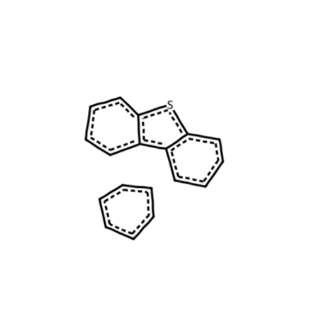 c1ccc2c(c1)sc1ccccc12.c1ccccc1